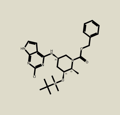 C[C@H]1[C@@H](O[Si](C)(C)C(C)(C)C)C[C@@H](Nc2nc(Cl)nc3[nH]ccc23)CN1C(=O)OCc1ccccc1